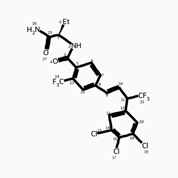 CC[C@@H](NC(=O)c1ccc(/C=C/C(c2cc(Cl)c(Cl)c(Cl)c2)C(F)(F)F)cc1C(F)(F)F)C(N)=O